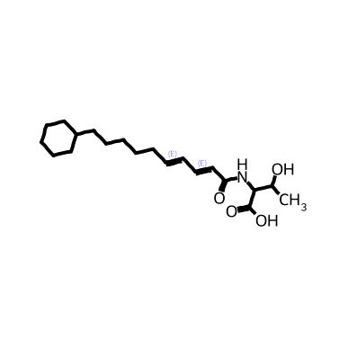 CC(O)C(NC(=O)/C=C/C=C/CCCCCC1CCCCC1)C(=O)O